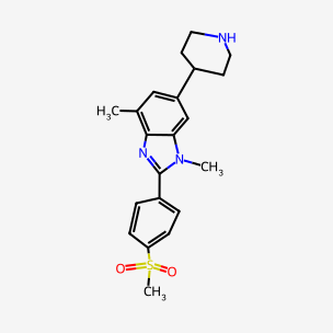 Cc1cc(C2CCNCC2)cc2c1nc(-c1ccc(S(C)(=O)=O)cc1)n2C